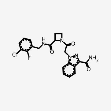 NC(=O)c1nn(CC(=O)N2CCC2C(=O)NCc2cccc(Cl)c2F)c2ccccc12